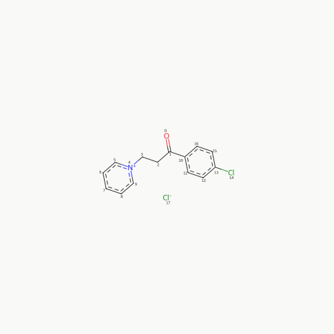 O=C(CC[n+]1ccccc1)c1ccc(Cl)cc1.[Cl-]